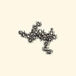 C=Cc1ccc(-c2ccc(C3(C4=CCC(F)CC4)C4=C(CCC=C4)c4ccc(N(c5ccc6c(c5)SC5C=C(N(C7=CCC(C8=CC(C9C=CC=CC9)=CCC8)C=C7)C7=CC8=C(CC7)c7ccccc7C8(C7=CCC(c8ccc(C=C)cc8)C=C7)C7=CCC(F)CC7)C=CC65)C5C=CC(C6=CC=CC(C7C=CCCC7)C6)=CC5)cc43)cc2)cc1